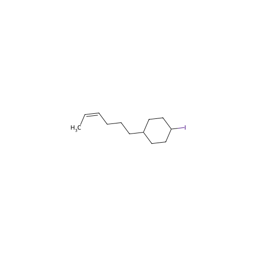 C/C=C\CCCC1CCC(I)CC1